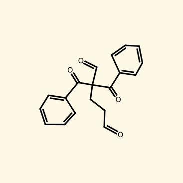 O=CCCC(C=O)(C(=O)c1ccccc1)C(=O)c1ccccc1